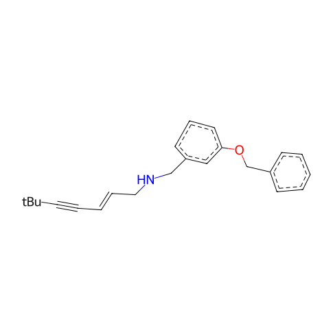 CC(C)(C)C#CC=CCNCc1cccc(OCc2ccccc2)c1